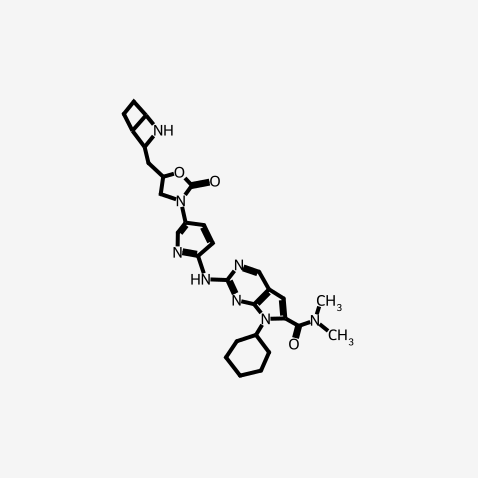 CN(C)C(=O)c1cc2cnc(Nc3ccc(N4CC(CC5NC6CCC65)OC4=O)cn3)nc2n1C1CCCCC1